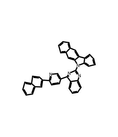 c1ccc2cc(-c3ccc(-c4nc(-n5c6ccccc6c6cc7ccccc7cc65)nc5ccccc45)cn3)ccc2c1